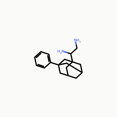 NCC(N)C12CC3CC(CC(c4ccccc4)(C3)C1)C2